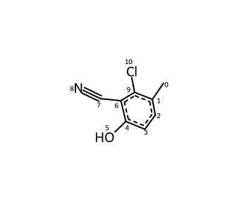 Cc1ccc(O)c(C#N)c1Cl